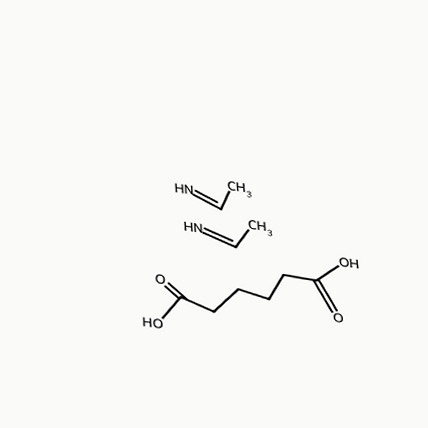 CC=N.CC=N.O=C(O)CCCCC(=O)O